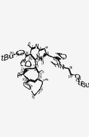 Cc1nc2cc(C(=O)NCCOC(C)(C)C)nn2c(-c2cc(F)c3c(c2C)CCCO3)c1[C@H](OC(C)(C)C)C(=O)O